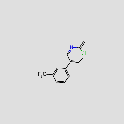 C=C(Cl)/N=C\C(=C/C)c1cccc(C(F)(F)F)c1